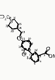 COC(=O)c1cccc(-c2ccc(OCC3CCN(C(=O)O)CC3)cc2C(F)(F)F)c1